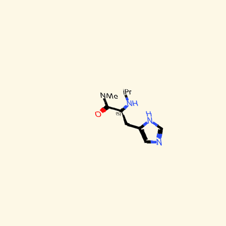 CNC(=O)[C@H](Cc1cnc[nH]1)NC(C)C